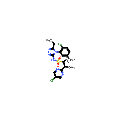 COCc1nnc(NS(=O)(=O)C(C)C(OC)c2ncc(Cl)cn2)n1-c1cc(OC)ccc1Cl